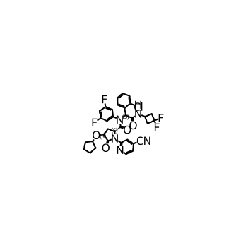 N#Cc1ccnc(N2C(=O)[C@@H](OC3CCCC3)C[C@H]2C(=O)N(c2cc(F)cc(F)c2)[C@H](C(=O)NC2CC(F)(F)C2)c2ccccc2Cl)c1